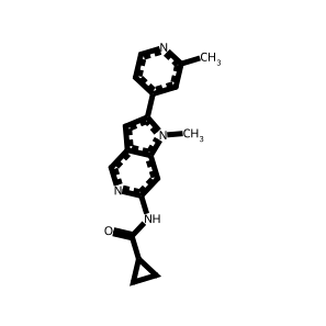 Cc1cc(-c2cc3cnc(NC(=O)C4CC4)cc3n2C)ccn1